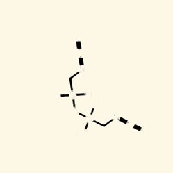 C[Si](C)(CN=C=O)O[Si](C)(C)CN=C=O